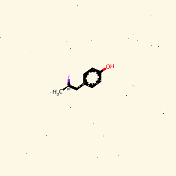 C[C@@H](I)Cc1ccc(O)cc1